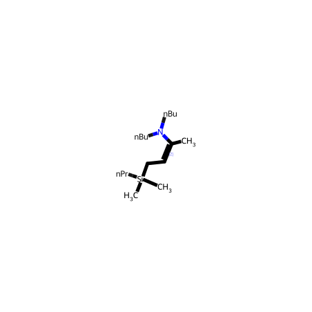 CCCCN(CCCC)/C(C)=C\C[Si](C)(C)CCC